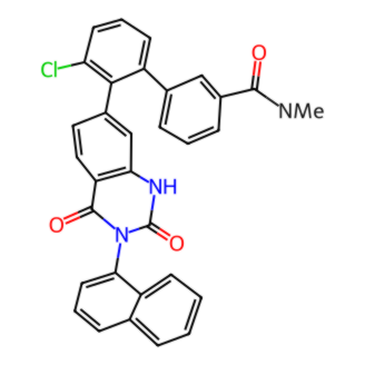 CNC(=O)c1cccc(-c2cccc(Cl)c2-c2ccc3c(=O)n(-c4cccc5ccccc45)c(=O)[nH]c3c2)c1